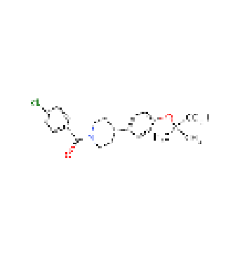 CC(C)(Oc1ccc(C2CCN(C(=O)c3ccc(Cl)cc3)CC2)cc1)C(=O)O